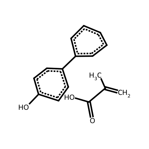 C=C(C)C(=O)O.Oc1ccc(-c2ccccc2)cc1